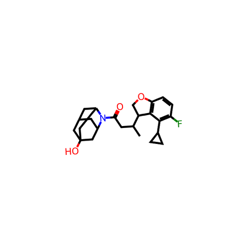 CC(CC(=O)N1C2CC3CC1CC(O)(C3)C2)C1COc2ccc(F)c(C3CC3)c21